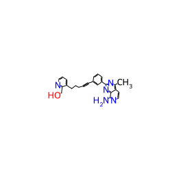 Cc1nc(-c2cccc(C#CCCCc3cccnc3CO)c2)nc2c(N)nccc12